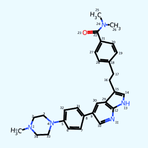 CN1CCN(c2ccc(-c3cnc4[nH]cc(CCc5ccc(C(=O)N(C)C)cc5)c4c3)cc2)CC1